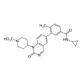 Cc1ccc(C(=O)NC2CC2)cc1-c1ccc2c(cnc(=O)n2C2CCN(C(=O)O)CC2)c1